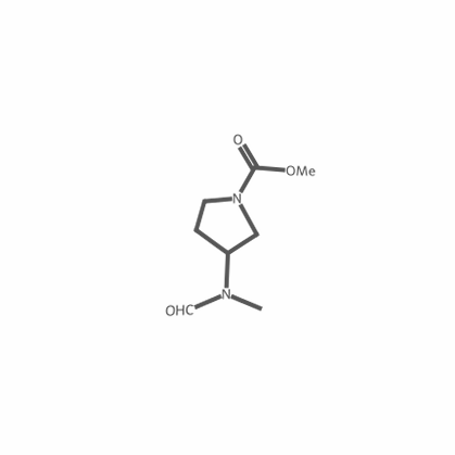 COC(=O)N1CCC(N(C)C=O)C1